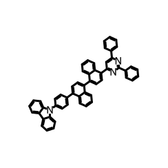 c1ccc(-c2cc(-c3ccc(-c4ccc(-c5ccc(-n6c7ccccc7c7ccccc76)cc5)c5ccccc45)c4ccccc34)nc(-c3ccccc3)n2)cc1